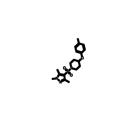 Cc1ccc(OC2CCN(S(=O)(=O)c3c(C)nn(C)c3C)CC2)cc1